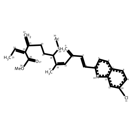 C=C(C=Cc1ccc2ccc(Cl)cc2n1)C=C(C)C(CCC(=C)C(=CC)C(=O)OC)SC(C)=O